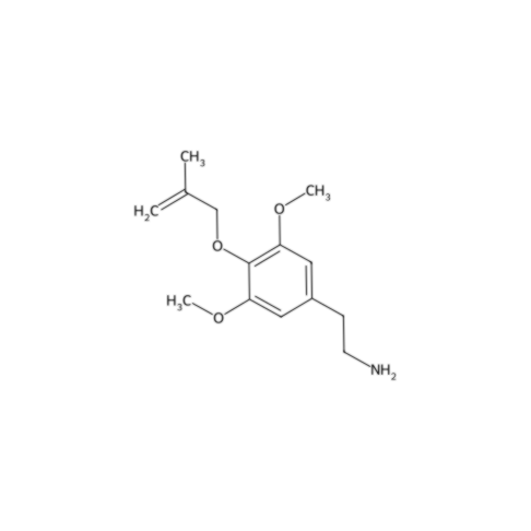 C=C(C)COc1c(OC)cc(CCN)cc1OC